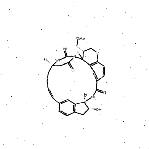 CC[C@]12CC/C=C\c3ccc4c(c3)[C@@H](NC(=O)c3ccc5c(c3)[C@@H]([C@H](COC)CO5)N(C(=N)N1)C(=O)C2)[C@H](O)C4